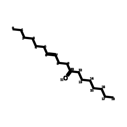 CCCCCCC=CCCC(=O)CCCCCCC